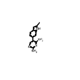 Cc1cc2ccc(-c3cnc(N)nc3N)cc2[nH]1